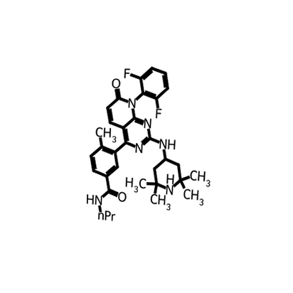 CCCNC(=O)c1ccc(C)c(-c2nc(NC3CC(C)(C)NC(C)(C)C3)nc3c2ccc(=O)n3-c2c(F)cccc2F)c1